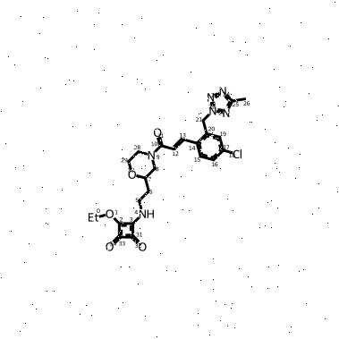 CCOc1c(NCCC2CN(C(=O)C=Cc3ccc(Cl)cc3Cn3nnc(C)n3)CCO2)c(=O)c1=O